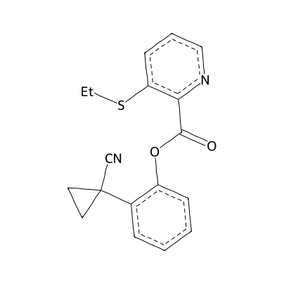 CCSc1cccnc1C(=O)Oc1ccccc1C1(C#N)CC1